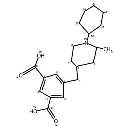 CC1CC(Cc2cc(C(=O)O)cc(C(=O)O)c2)CCN1C1CCCCC1